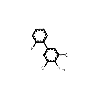 Nc1c(Cl)cc(-c2ccccc2F)cc1Cl